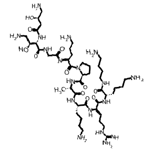 C[C@H](NC(=O)[C@@H]1CCCN1C(=O)/C(CCCN)=N/C(=O)CNC(=O)[C@@H](NC(=O)C[C@@H](O)CN)[C@@H](O)CN)C(=O)N[C@@H](CCCCN)C(=O)N/C(=C\CCNC(=N)N)C(=O)N[C@@H](CCCCN)C(=O)NCCCCN